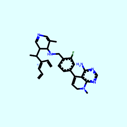 C=C/C=C(\C=C)C(C)C1C=NC=C(C)C1NCc1ccc(C2=CCN(C)c3ncnc(N)c32)cc1F